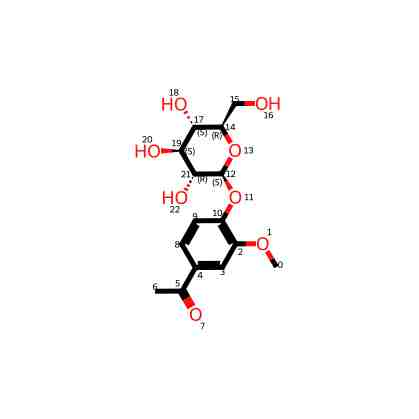 COc1cc(C(C)=O)ccc1O[C@@H]1O[C@H](CO)[C@@H](O)[C@H](O)[C@H]1O